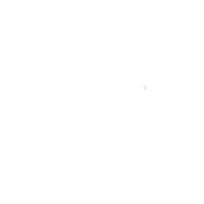 Cc1cnc2ccc(F)c(Cl)c2c1C(C)(C)O